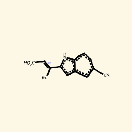 CC/C(=C\C(=O)O)c1cc2cc(C#N)ccc2[nH]1